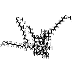 CCCCCCCCCCCC(=O)O[C@H](CCCCCCCCCCC)CC(=O)N[C@H]1[C@H](OC(CCCCCCN)[C@H]2O[C@@H](O)[C@H](NC(=O)C[C@H](O)CCCCCCCCCCC)[C@@H](O)[C@@H]2O)O[C@H](CO)[C@@H](OP(=O)(O)O)[C@@H]1O